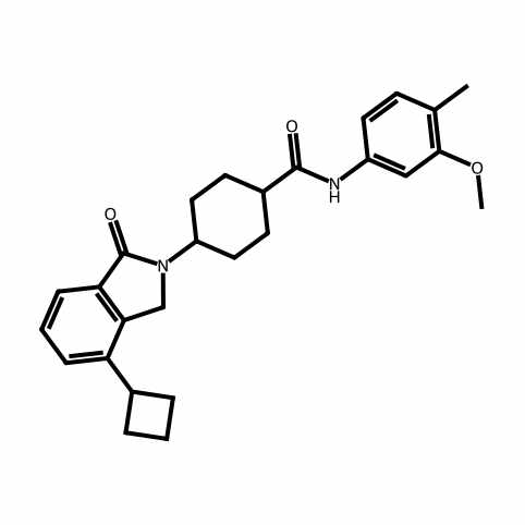 COc1cc(NC(=O)C2CCC(N3Cc4c(cccc4C4CCC4)C3=O)CC2)ccc1C